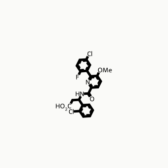 COc1ccc(C(=O)NC(CC(=O)O)c2ccccc2Cl)nc1-c1cc(Cl)ccc1F